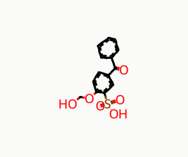 O=C(c1ccccc1)c1ccc(OCO)c(S(=O)(=O)O)c1